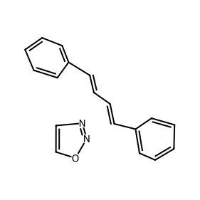 C(/C=C/c1ccccc1)=C\c1ccccc1.c1conn1